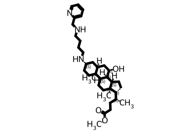 COC(=O)CC[C@@H](C)[C@H]1CC[C@H]2[C@@H]3[C@H](O)C[C@@H]4C[C@@H](NCCCCNCc5ccccn5)CC[C@]4(C)[C@H]3CC[C@]12C